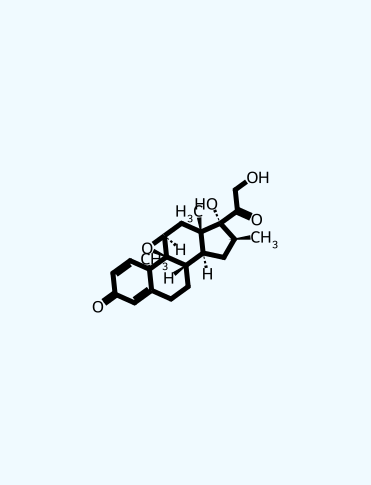 C[C@H]1C[C@H]2[C@@H]3CCC4=CC(=O)C=C[C@]4(C)[C@@]34O[C@H]4C[C@]2(C)[C@@]1(O)C(=O)CO